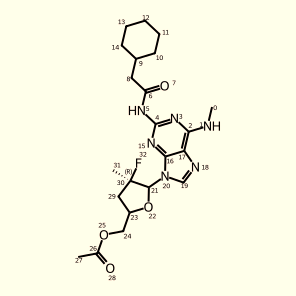 CNc1nc(NC(=O)CC2CCCCC2)nc2c1ncn2C1OC(COC(C)=O)C[C@@]1(C)F